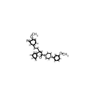 COc1cccc(N2CCN(C(=O)/C=C(/CCc3ccc(OC)c(F)c3)c3ccccc3)CC2)c1